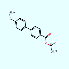 CCCCCCCCCSc1ccc(-c2ccc(C(=O)O[C@@H](C)C(=O)OCC)cc2)cc1